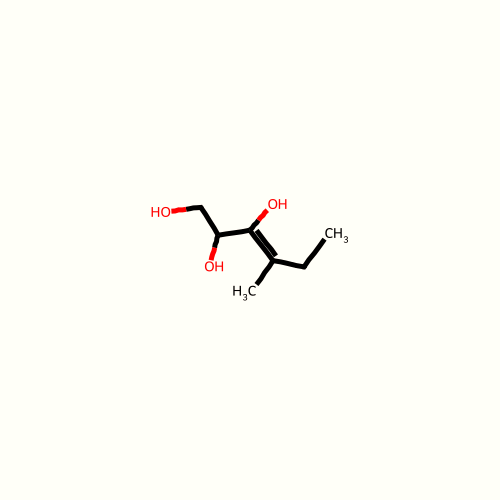 CCC(C)=C(O)C(O)CO